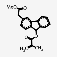 C=C(C)C(=O)OC1c2ccccc2-c2cc(CC(=O)OC)ccc21